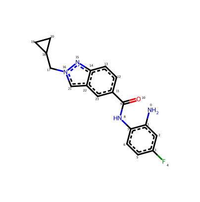 Nc1cc(F)ccc1NC(=O)c1ccc2nn(CC3CC3)cc2c1